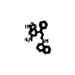 Nc1cc(C(CCNC2CCCc3ccccc32)c2ccccc2)c2nn[nH]c2n1